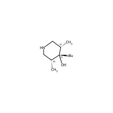 CCCC[C@@]1(O)[C@H](C)CNC[C@@H]1C